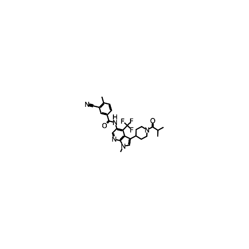 Cc1ccc(C(=O)Nc2cnc3c(c(C4CCN(C(=O)C(C)C)CC4)cn3C)c2C(F)(F)F)cc1C#N